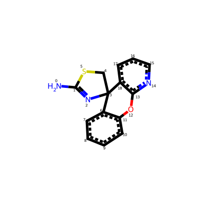 NC1=NC2(CS1)c1ccccc1Oc1ncccc12